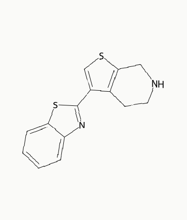 c1ccc2sc(-c3csc4c3CCNC4)nc2c1